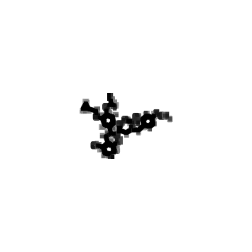 CSc1ccc(CN(CC(=O)O[C@@H](Cc2c(Cl)cncc2Cl)c2ccc(OC(F)F)c(OCC3CC3)c2)[SH](=O)=O)cc1